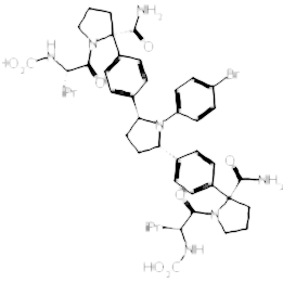 CC(C)[C@H](NC(=O)O)C(=O)N1CCC[C@@]1(C(N)=O)c1ccc([C@@H]2CC[C@@H](c3ccc([C@]4(C(N)=O)CCCN4C(=O)[C@@H](NC(=O)O)C(C)C)cc3)N2c2ccc(Br)cc2)cc1